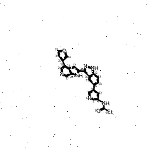 CCC(=O)Nc1cncc(-c2ccc3[nH]nc(-c4cc5c(-c6ccoc6)cncc5[nH]4)c3c2)c1